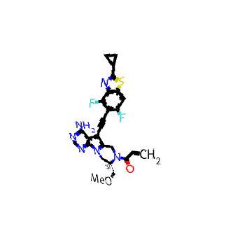 C=CC(=O)N1Cc2c(C#Cc3c(F)cc4sc(C5CC5)nc4c3F)c3c(N)ncnc3n2C[C@H]1COC